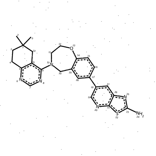 CC1(C)CCc2ncnc(N3CCOc4ccc(-c5cnc6sc(N)nc6c5)cc4C3)c2C1